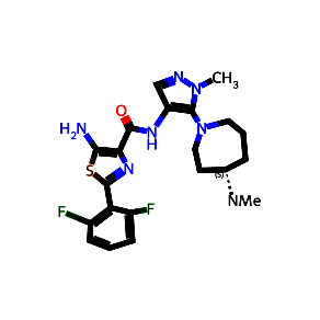 CN[C@H]1CCCN(c2c(NC(=O)c3nc(-c4c(F)cccc4F)sc3N)cnn2C)CC1